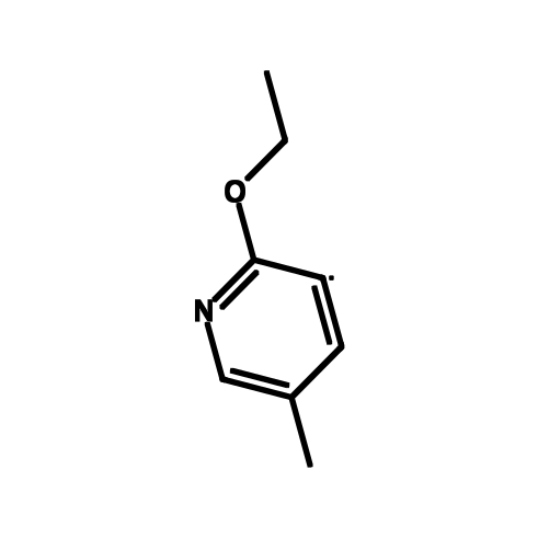 CCOc1[c]cc(C)cn1